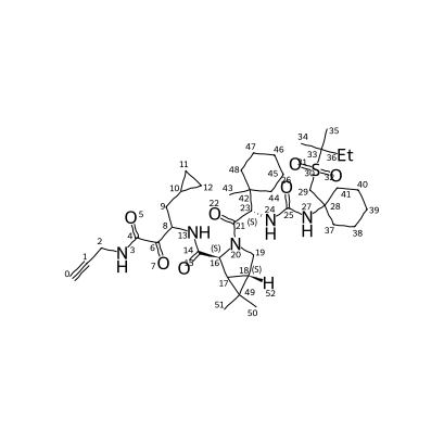 C#CCNC(=O)C(=O)C(CC1CC1)NC(=O)[C@@H]1C2[C@H](CN1C(=O)[C@@H](NC(=O)NC1(CS(=O)(=O)C(C)(C)CC)CCCCC1)C1(C)CCCCC1)C2(C)C